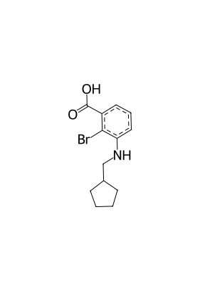 O=C(O)c1cccc(NCC2CCCC2)c1Br